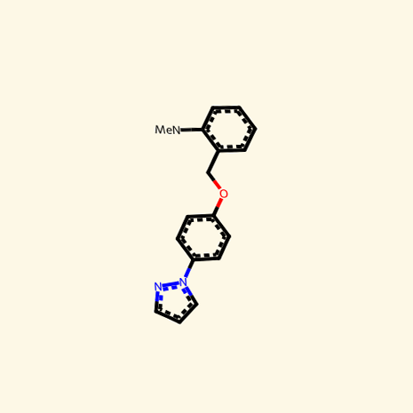 CNc1ccccc1COc1ccc(-n2cccn2)cc1